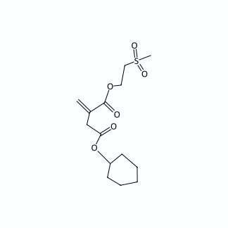 C=C(CC(=O)OC1CCCCC1)C(=O)OCCS(C)(=O)=O